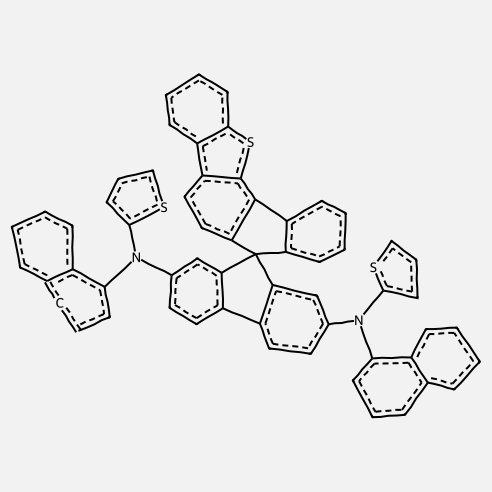 c1csc(N(c2ccc3c(c2)C2(c4cc(N(c5cccs5)c5cccc6ccccc56)ccc4-3)c3ccccc3-c3c2ccc2c3sc3ccccc32)c2cccc3ccccc23)c1